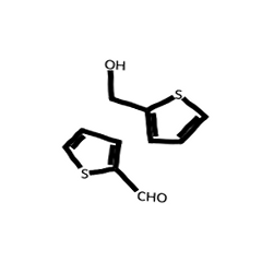 O=Cc1cccs1.OCc1cccs1